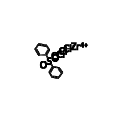 O=S(=O)(c1ccccc1)c1ccccc1.[Cl-].[Cl-].[Cl-].[Cl-].[Zr+4]